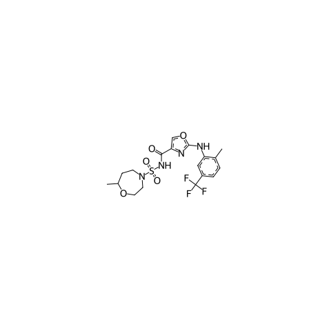 Cc1ccc(C(F)(F)F)cc1Nc1nc(C(=O)NS(=O)(=O)N2CCOC(C)CC2)co1